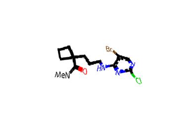 CNC(=O)C1(CCCNc2nc(Cl)ncc2Br)CCC1